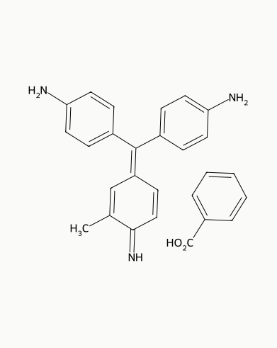 CC1=CC(=C(c2ccc(N)cc2)c2ccc(N)cc2)C=CC1=N.O=C(O)c1ccccc1